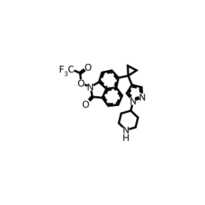 O=C1c2cccc3c(C4(c5cnn(C6CCNCC6)c5)CC4)ccc(c23)N1OC(=O)C(F)(F)F